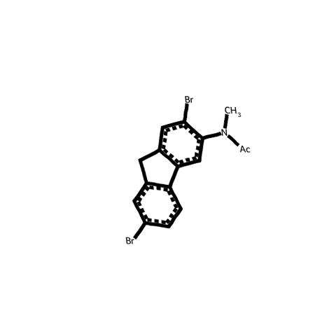 CC(=O)N(C)c1cc2c(cc1Br)Cc1cc(Br)ccc1-2